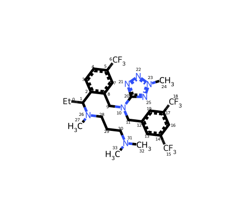 CCC(c1ccc(C(F)(F)F)cc1CN(Cc1cc(C(F)(F)F)cc(C(F)(F)F)c1)c1nnn(C)n1)N(C)CCCN(C)C